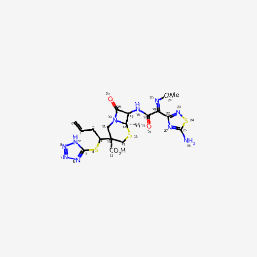 C=CCC(Sc1nnn[nH]1)C1(C(=O)O)CS[C@@H]2C(NC(=O)C(=NOC)c3nsc(N)n3)C(=O)N2C1